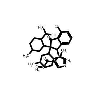 COC(=O)c1cncn1C1c2cccc(Cl)c2C(=O)C1(C1CC(C)CCC1C(C)C)C1CC(C)CCC1C(C)C